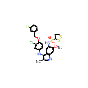 CCOc1cc2ncc(C#N)c(Nc3ccc(OCc4cccc(F)c4)c(Cl)c3)c2cc1NS(=O)(=O)C1CCSS1